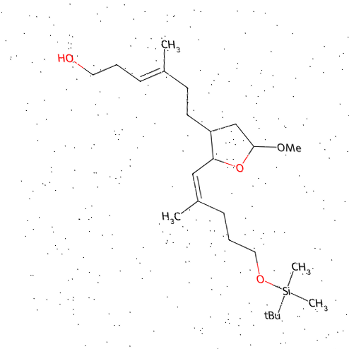 COC1CC(CCC(C)=CCCO)C(C=C(C)CCCO[Si](C)(C)C(C)(C)C)O1